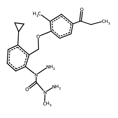 CCC(=O)c1ccc(OCc2c(C3CC3)cccc2N(N)C(=O)N(C)N)c(C)c1